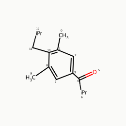 Cc1cc(C(=O)C(C)C)cc(C)c1CC(C)C